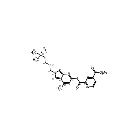 COC(=O)c1ccnc(C(=O)Cc2cc(C)c3nn(COCC[Si](C)(C)C)cc3c2)c1